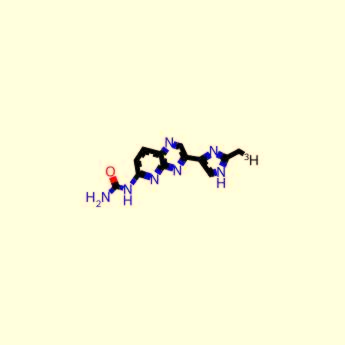 [3H]Cc1nc(-c2cnc3ccc(NC(N)=O)nc3n2)c[nH]1